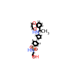 C[C@@H](NC1CC[C@H](c2ccc(S(=O)(=O)NCCO)cc2)C1)c1cccc2c1OCCCO2